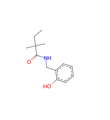 CCC(C)(C)C(=O)NCc1ccccc1O